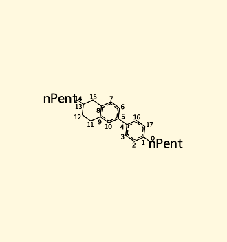 CCCCCc1ccc(-c2ccc3c(c2)CCC(CCCCC)C3)cc1